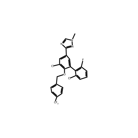 Cn1cnc(-c2cc(Cl)c(OCc3ccc(C(F)(F)F)cc3)c(-c3c(F)cccc3Cl)c2)n1